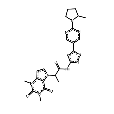 CC1CCCN1c1ncc(-c2nnc(NC(=O)C(C)n3ccc4c3c(=O)n(C)c(=O)n4C)s2)cn1